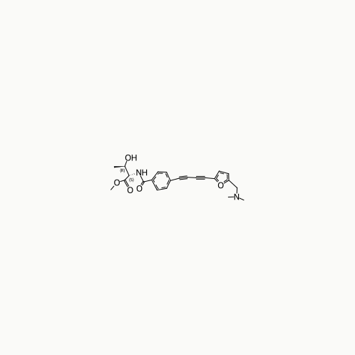 COC(=O)[C@@H](NC(=O)c1ccc(C#CC#Cc2ccc(CN(C)C)o2)cc1)[C@@H](C)O